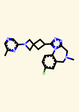 Cc1cncc(N2CC3(CC(c4nnc5n4-c4ccc(Cl)cc4CN(C)C5)C3)C2)n1